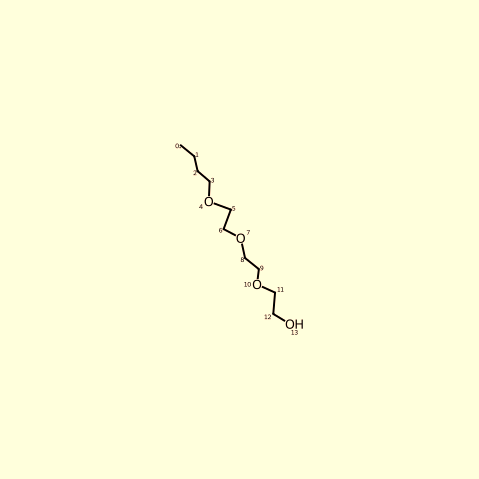 [CH2]CCCOCCOCCOCCO